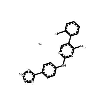 Cl.Nc1nc(Nc2ccc(-c3nn[nH]n3)cc2)ncc1-c1ccccc1Cl